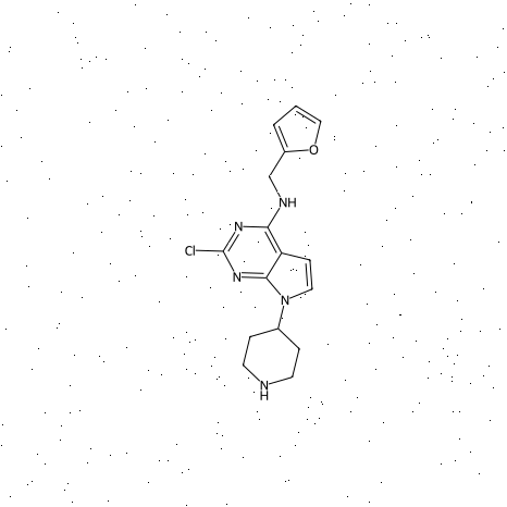 Clc1nc(NCc2ccco2)c2ccn(C3CCNCC3)c2n1